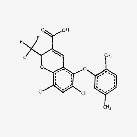 Cc1ccc(C)c(Oc2c(Cl)cc(Cl)c3c2C=C(C(=O)O)C(C(F)(F)F)O3)c1